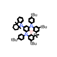 CC(C)(C)c1ccc(N2c3cc(N4c5ccccc5C5(C)CCCCC45C)cc4c3B3c5c2cc(C(C)(C)C)cc5[Si](C)(C)c2cc(C(C)(C)C)cc(c23)N4c2ccc(C(C)(C)C)cc2)cc1